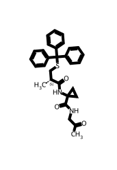 CC(=O)CNC(=O)C1(NC(=O)[C@H](C)CSC(c2ccccc2)(c2ccccc2)c2ccccc2)CC1